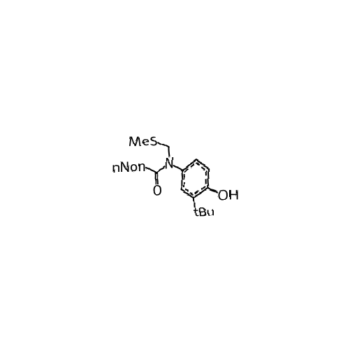 CCCCCCCCCC(=O)N(CSC)c1ccc(O)c(C(C)(C)C)c1